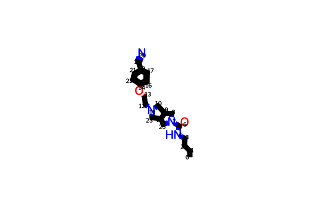 CCCCNC(=O)N1CC2CN(CCOc3ccc(C#N)cc3)CC2C1